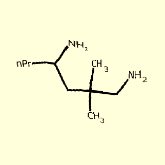 CCCC(N)CC(C)(C)CN